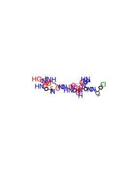 Cc1ncsc1-c1ccc([C@H](C)NC(=O)[C@@H]2C[C@@H](O)CN2C(=O)[C@@H](NC(=O)CCCCCC(=O)N2CCN(CCCNc3ccc(S(=O)(=O)NC(=O)c4ccc(N5CCN(CC6=C(c7ccc(Cl)cc7)CC(C)(C)CC6)CC5)cc4N4C[C@@H](C)Oc5nc6[nH]ccc6cc54)cc3[N+](=O)[O-])CC2)C(C)(C)C)cc1